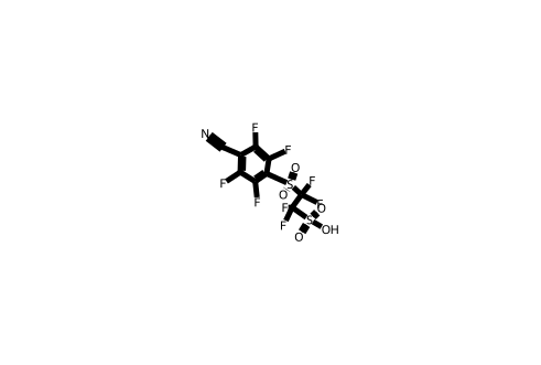 N#Cc1c(F)c(F)c(S(=O)(=O)C(F)(F)C(F)(F)S(=O)(=O)O)c(F)c1F